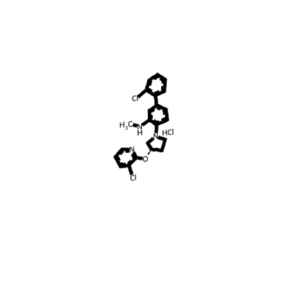 CNc1cc(-c2ccccc2Cl)ccc1N1CC[C@H](Oc2ncccc2Cl)C1.Cl